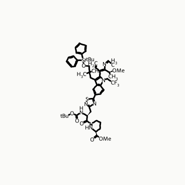 C=C/C(=C(\N=C/C)[C@H](C)OC)c1c(CC(C)(C)CO[Si](c2ccccc2)(c2ccccc2)C(C)(C)C)c2cc(-c3nc(C[C@H](NC(=O)OC(C)(C)C)C(=O)N4CCC[C@@H](C(=O)OC)N4)ns3)ccc2n1CC(F)(F)F